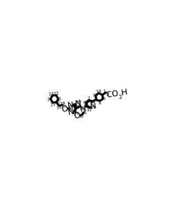 O=C(O)CC1CCC(c2ccc(N3CCOc4nc(OCCC5CCCCC5)nc5c4C3=N5)cn2)CC1